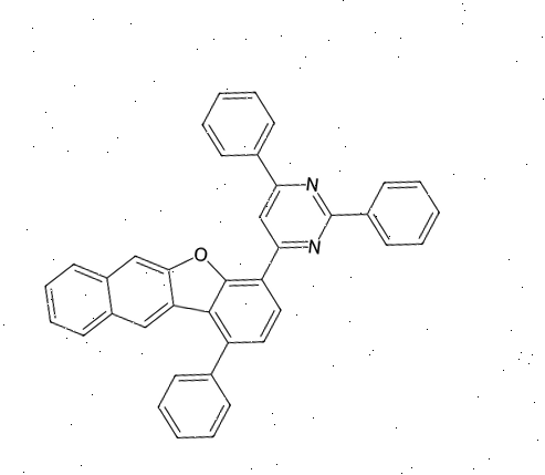 c1ccc(-c2cc(-c3ccc(-c4ccccc4)c4c3oc3cc5ccccc5cc34)nc(-c3ccccc3)n2)cc1